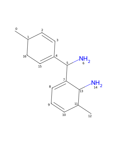 CC1C=CC(C(N)C2=CC=CC(C)C2N)=CC1